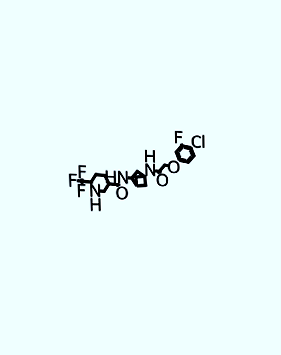 O=C(COc1ccc(Cl)c(F)c1)NC12CC(C1)C(NC(=O)C1CCC(C(F)(F)F)NC1)C2